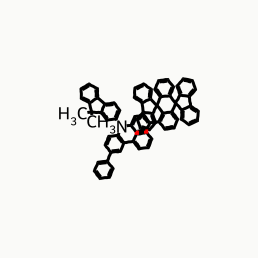 CC1(C)c2ccccc2-c2ccc(N(c3ccc(-c4cccc5c4C4(c6ccccc6-c6ccccc64)c4ccccc4C54c5ccccc5-c5ccccc54)cc3)c3ccc(-c4ccccc4)cc3-c3ccccc3)cc21